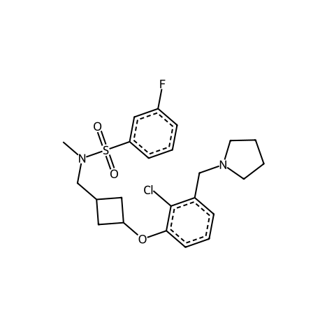 CN(CC1CC(Oc2cccc(CN3CCCC3)c2Cl)C1)S(=O)(=O)c1cccc(F)c1